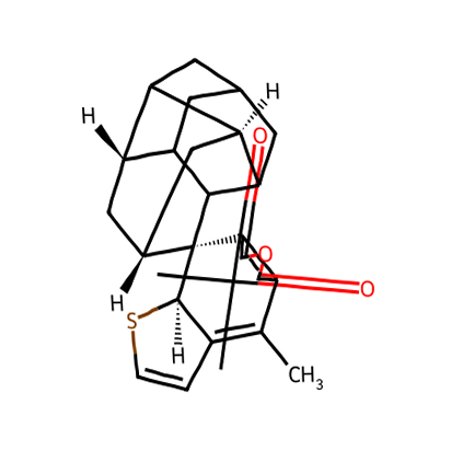 CC1=C2C=CS[C@H]2[C@]2(C3=C1C(=O)OC3=O)C1C3CC4CC1[C@@H]1C[C@@H]2C[C@H]3C1C4